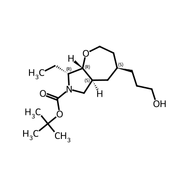 CC[C@@H]1[C@@H]2OCC[C@@H](CCCO)C[C@H]2CN1C(=O)OC(C)(C)C